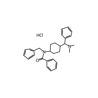 CN(C)C(c1ccccc1)C1CCC(N(Cc2ccccc2)C(=O)c2ccccc2)CC1.Cl